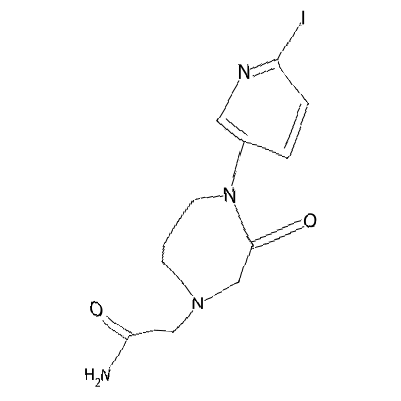 NC(=O)CN1CCN(c2ccc(I)nc2)C(=O)C1